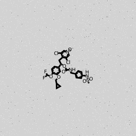 CS(=O)(=O)Nc1ccc(CNC(=O)OC(Cc2c(Cl)c[n+]([O-])cc2Cl)c2ccc(OC(F)F)c(OCC3CC3)c2)cc1